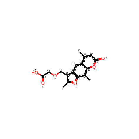 Cc1oc2c(C)c3oc(=O)cc(C)c3cc2c1COCC(=O)O